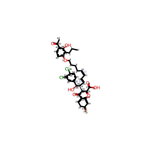 CCCc1c(OCCCC/C=C\C=C\[C@@H](c2c(C(=O)O)oc3c(c2=O)=CCC(=S)C=3)[C@@H](O)c2ccc(Cl)c(Cl)c2)ccc(C(C)=O)c1O